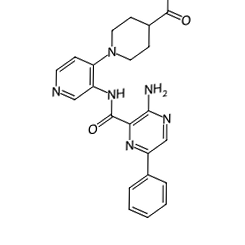 Nc1ncc(-c2ccccc2)nc1C(=O)Nc1cnccc1N1CCC(C(=O)O)CC1